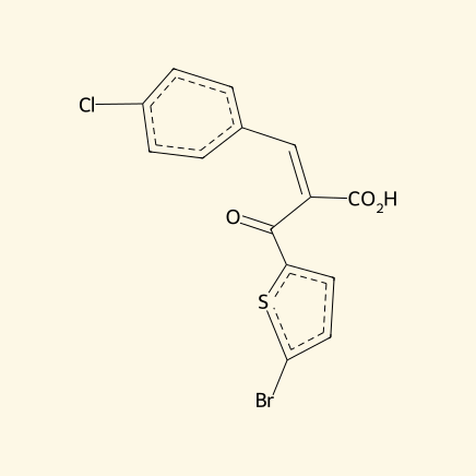 O=C(O)C(=Cc1ccc(Cl)cc1)C(=O)c1ccc(Br)s1